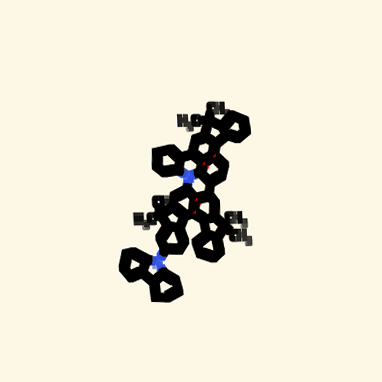 CC1(C)c2ccccc2-c2ccc(-c3ccccc3N(c3ccc4c(c3)C(C)(C)c3cc(-n5c6ccccc6c6ccccc65)ccc3-4)c3ccccc3-c3ccc4c(c3)C(C)(C)c3ccccc3-4)cc21